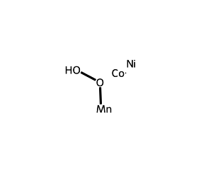 O[O][Mn].[Co].[Ni]